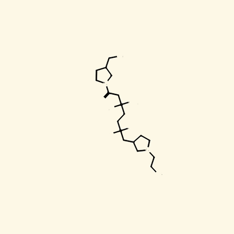 CC(C)(C)CCN1CCC(CC(C)(C)CCC(C)(C)CC(=O)N2CCC(CC(C)(C)C)C2)C1